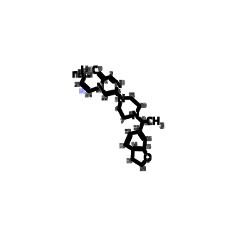 C=C1C=NC(N2CCN(C(C)c3ccc4c(c3)OCC4)CC2)=CN1/C=C\CCCC